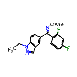 CON=C(c1ccc2c(cnn2CC(F)(F)F)c1)c1ccc(F)cc1F